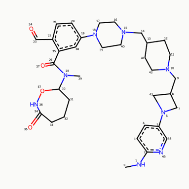 CNc1ccc(N2CC(CN3CCC(CN4CCN(c5ccc(C=O)c(C(=O)N(C)C6CCCC(=O)NO6)c5)CC4)CC3)C2)cn1